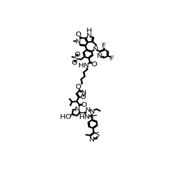 CCN1N=C([C@H]2C[C@@H](O)CN2C(=O)C(c2cc(OCCCCCNC(=O)c3cc4c(cc3CS(C)(=O)=O)-c3cn(C)c(=O)c5[nH]cc(c35)CN4c3ncc(F)cc3F)no2)C(C)C)N[C@@]1(C)c1ccc(-c2scnc2C)cc1